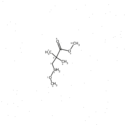 CO[SiH2]CC(C)(C)C(=O)OC